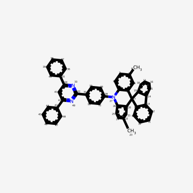 Cc1ccc2c(c1)C1(c3ccccc3-c3ccccc31)c1cc(C)ccc1N2c1ccc(-c2nc(-c3ccccc3)cc(-c3ccccc3)n2)cc1